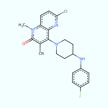 Cn1c(=O)c(C#N)c(N2CCC(Nc3ccc(F)cc3)CC2)c2nc(Cl)ccc21